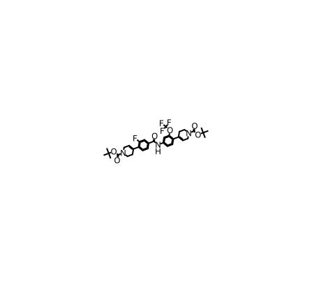 CC(C)(C)OC(=O)N1CC=C(c2ccc(C(=O)Nc3ccc(C4=CCN(C(=O)OC(C)(C)C)CC4)c(OC(F)(F)F)c3)cc2F)CC1